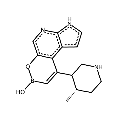 C[C@H]1CCNCC1C1=CB(O)Oc2cnc3[nH]ccc3c21